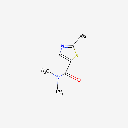 CCC(C)c1ncc(C(=O)N(C)C)s1